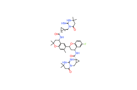 Cc1cc2c(cc1C1CC(NC(=O)[C@@H]3CC3CN3C(=N)NC(C)(C)CC3=O)c3cc(F)ccc3O1)C(NC(=O)[C@@H]1C[C@H]1CN1C(=N)NC(C)(C)CC1=O)CC(C)(C)O2